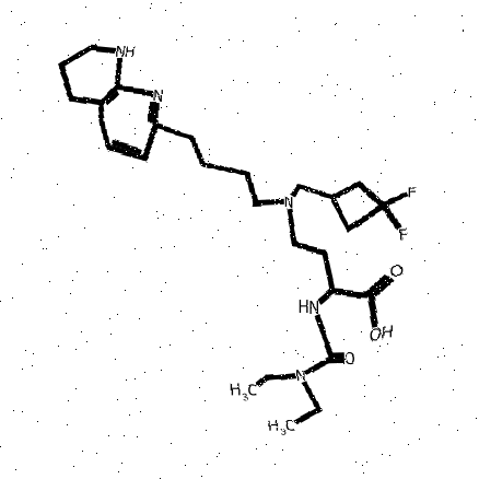 CCN(CC)C(=O)NC(CCN(CCCCc1ccc2c(n1)NCCC2)CC1CC(F)(F)C1)C(=O)O